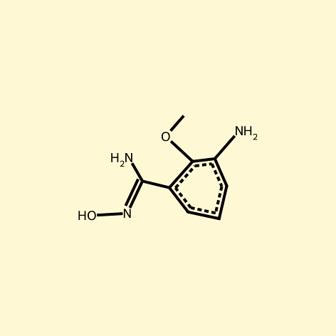 COc1c(N)cccc1C(N)=NO